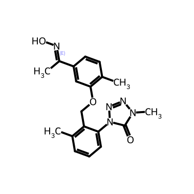 C/C(=N\O)c1ccc(C)c(OCc2c(C)cccc2-n2nnn(C)c2=O)c1